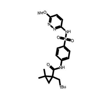 COc1ccc(NS(=O)(=O)c2ccc(NC(=O)C3(CC(C)(C)C)CC3(C)C)cc2)nn1